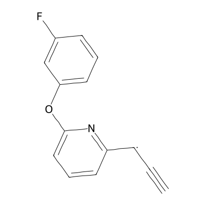 C#C[CH]c1cccc(Oc2cccc(F)c2)n1